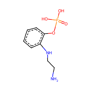 NCCNc1ccccc1OP(=O)(O)O